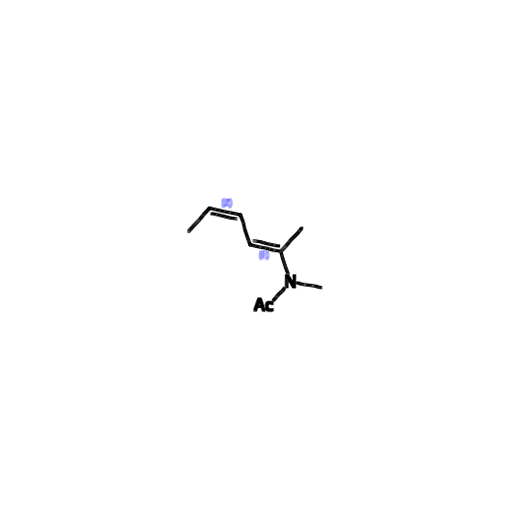 C/C=C\C=C(/C)N(C)C(C)=O